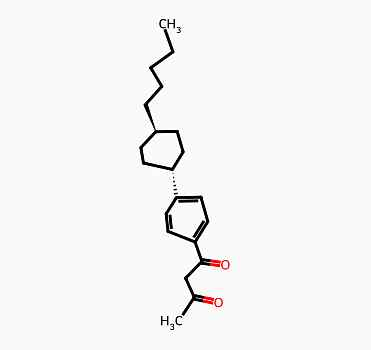 CCCCC[C@H]1CC[C@H](c2ccc(C(=O)CC(C)=O)cc2)CC1